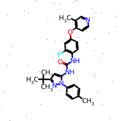 Cc1ccc(-n2nc(C(C)(C)C)cc2NC(=O)Nc2ccc(Oc3ccncc3C)cc2F)cc1